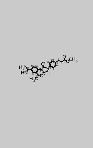 COC(=O)CCc1ccc(N2CCN(c3ccc(C(=N)N)cc3[S+](C)[O-])C2=O)cc1